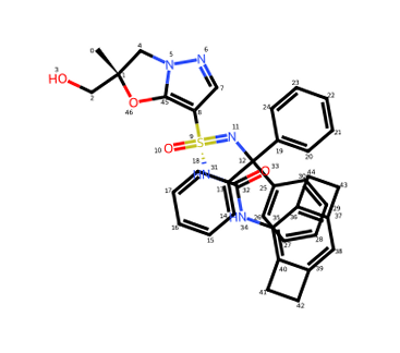 C[C@@]1(CO)Cn2ncc([S@](=O)(=NC(c3ccccc3)(c3ccccc3)c3ccccc3)NC(=O)Nc3c4c(cc5c3CC5)CC4)c2O1